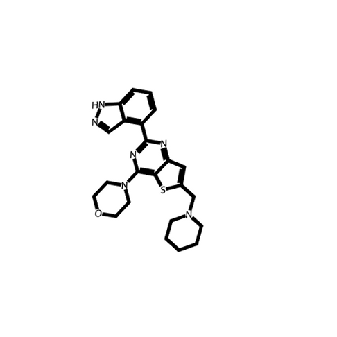 c1cc(-c2nc(N3CCOCC3)c3sc(CN4CCCCC4)cc3n2)c2cn[nH]c2c1